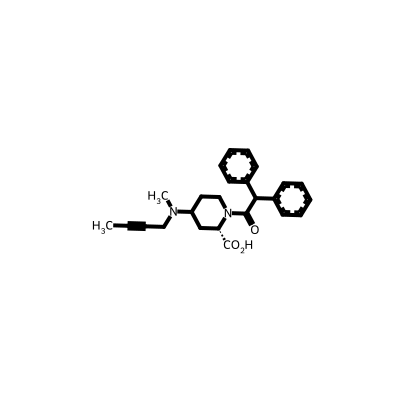 CC#CCN(C)C1CCN(C(=O)C(c2ccccc2)c2ccccc2)[C@H](C(=O)O)C1